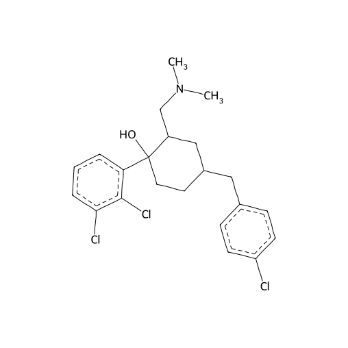 CN(C)CC1CC(Cc2ccc(Cl)cc2)CCC1(O)c1cccc(Cl)c1Cl